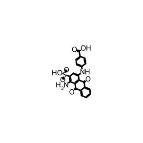 Nc1c(S(=O)(=O)O)cc(Nc2ccc(C(=O)O)cc2)c2c1C(=O)c1ccccc1C2=O